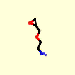 NCCOCC1CO1